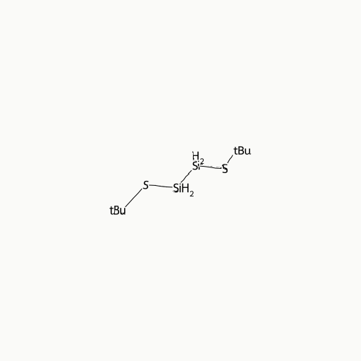 CC(C)(C)S[SiH2][SiH2]SC(C)(C)C